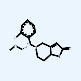 COC[C@H](c1ccccc1Cl)N1CCC2SC(=O)C=C2C1